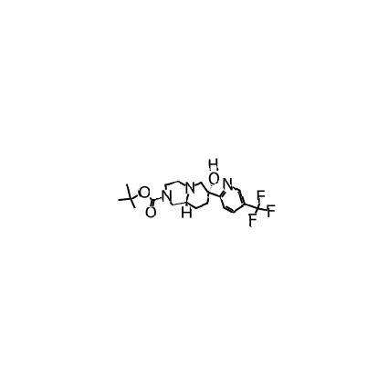 CC(C)(C)OC(=O)N1CCN2C[C@@](O)(c3ccc(C(F)(F)F)cn3)CC[C@@H]2C1